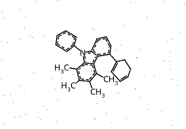 Cc1c(C)c(C)c2c(c1C)c1c(C3=CC=CCC3)cccc1n2-c1ccccc1